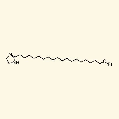 CCOCCCCCCCCCCCCCCCCCCC1=NCCN1